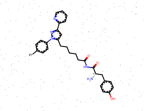 CC(C)c1ccc(-n2nc(-c3ccccn3)cc2CCCCCC(=O)NC(=O)[C@@H](N)Cc2ccc(O)cc2)cc1